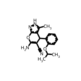 Cc1[nH]nc2c1C(c1ccccc1OC(C)C)C(C#N)=C(N)O2